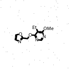 CCc1c(OC)ncnc1OCc1ncco1